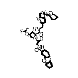 O=C(NCC(=O)N1C[C@H](OC(F)F)C[C@H]1C(=O)NCc1cnc2cnn(C3CCCCO3)c2c1)c1ccc2c(c1)Oc1ccccc1S2